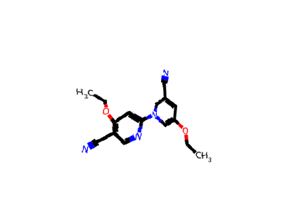 CCOC1=CN(c2cc(OCC)c(C#N)cn2)CC(C#N)=C1